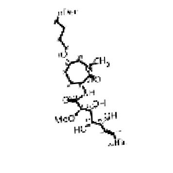 CCCCCCCCCCCCCCO[C@H]1CC[C@H](NC(=O)[C@H](OC)[C@H](O)[C@@H](O)[C@H](O)/C=C/C(C)(C)C)C(=O)N(C)C1